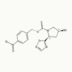 O=C(OCc1ccc([N+](=O)[O-])cc1)N1C[C@@H](S)C[C@H]1c1ncns1